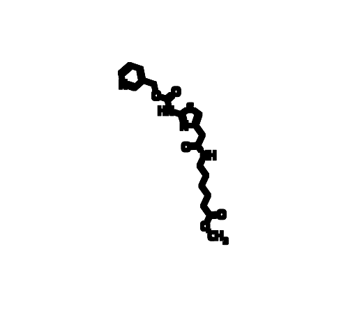 COC(=O)CCCCCNC(=O)Cc1csc(NC(=O)OCc2cccnc2)n1